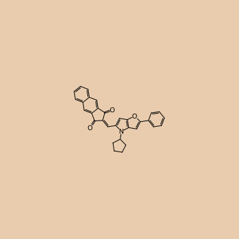 O=C1C(=Cc2cc3oc(-c4ccccc4)cc3n2C2CCCC2)C(=O)c2cc3ccccc3cc21